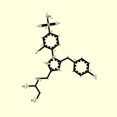 CCC(C)NCc1nc(Cc2ccc(Cl)cc2)n(-c2ccc(S(N)(=O)=O)cc2F)n1